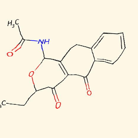 CCC1OC(NC(C)=O)C2=C(C(=O)c3ccccc3C2)C1=O